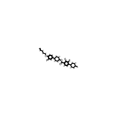 C=CCCCOc1ccc(C2CCC(OC(=O)c3ccc(C4CCC(C)CC4)c(F)c3F)CC2)cc1F